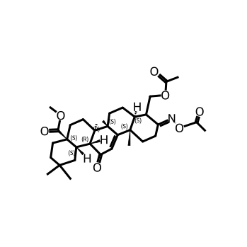 COC(=O)[C@]12CCC(C)(C)C[C@H]1[C@H]1C(=O)C=C3[C@@]4(C)CCC(=NOC(C)=O)C(COC(C)=O)[C@@H]4CC[C@@]3(C)[C@]1(C)CC2